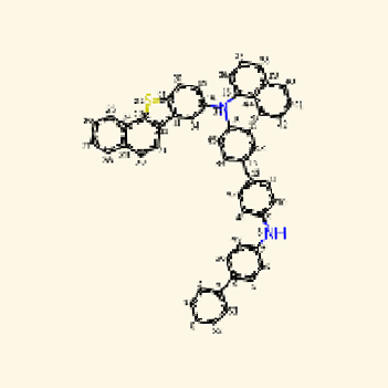 c1ccc(-c2ccc(Nc3ccc(-c4ccc(N(c5ccc6sc7c8ccccc8ccc7c6c5)c5cccc6ccccc56)cc4)cc3)cc2)cc1